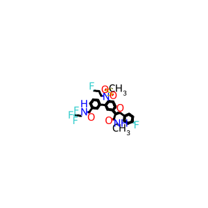 CNC(=O)c1c(-c2ccc(F)cc2)oc2cc(N(CCCF)S(C)(=O)=O)c(-c3cccc(C(=O)NCC(F)(F)F)c3)cc12